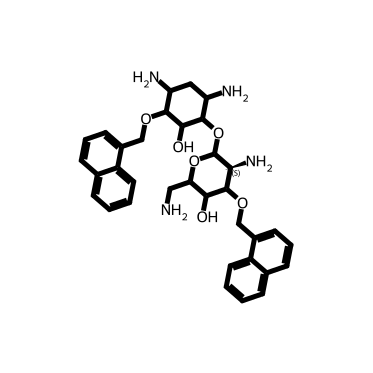 NCC1OC(OC2C(N)CC(N)C(OCc3cccc4ccccc34)C2O)[C@@H](N)C(OCc2cccc3ccccc23)C1O